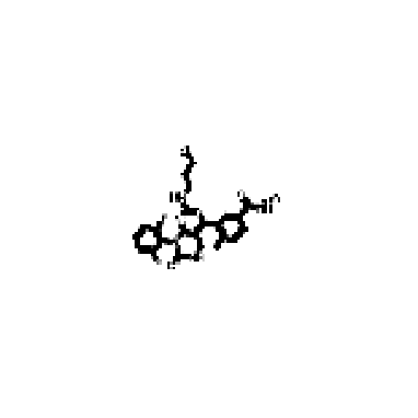 CCCNC(=O)c1ccc(C)c(-c2nc(NCCCCl)nc3c2CNC(=O)N3c2c(F)cccc2F)c1